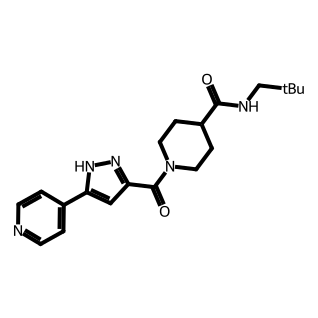 CC(C)(C)CNC(=O)C1CCN(C(=O)c2cc(-c3ccncc3)[nH]n2)CC1